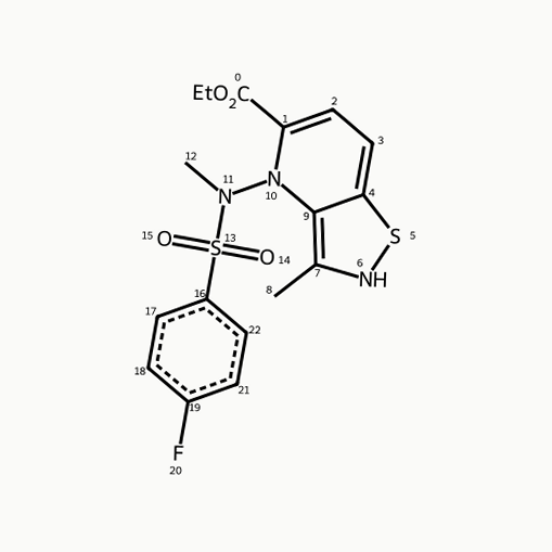 CCOC(=O)C1=CC=C2SNC(C)=C2N1N(C)S(=O)(=O)c1ccc(F)cc1